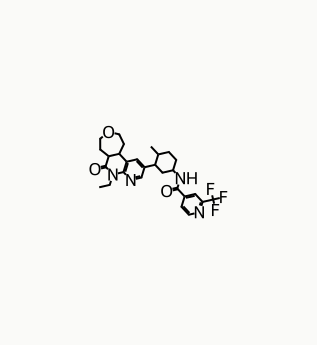 CCN1C(=O)C2CCOCCC2c2cc(C3CC(NC(=O)c4ccnc(C(F)(F)F)c4)CCC3C)cnc21